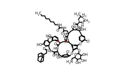 CCCCCCCCNC(=O)NC(=O)C[C@@H]1CC(=O)[C@H](NC(=O)[C@@H](CC(C)C)NC)[C@H](O)c2ccc(c(Cl)c2)Oc2cc3cc(c2OC2OC(CN)C(O)C(O)C2O)Oc2ccc(cc2Cl)[C@@H](O)[C@@H]2NC(=O)[C@H](CC(=O)[C@@H]3NC1=O)c1ccc(O)c(c1)-c1c(O)cc(O)cc1[C@@H](C(=O)CC1C3CC4CC(C3)CC1C4)NC2=O